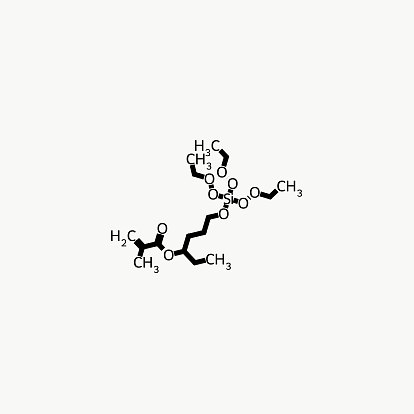 C=C(C)C(=O)OC(CC)CCCO[Si](OOCC)(OOCC)OOCC